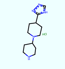 Cl.c1nnc(C2CCN(C3CCNCC3)CC2)[nH]1